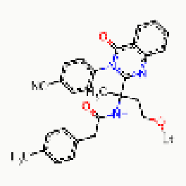 CCOCCC(C)(NC(=O)Cc1ccc(C(F)(F)F)cc1)c1nc2ccccc2c(=O)n1-c1ccc(C#N)cc1